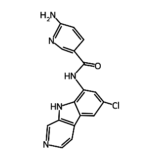 Nc1ccc(C(=O)Nc2cc(Cl)cc3c2[nH]c2cnccc23)cn1